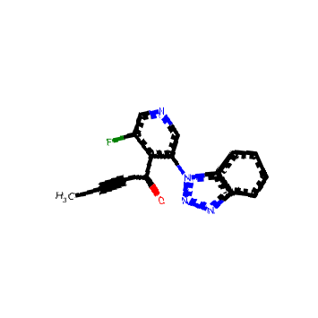 CC#CC(=O)c1c(F)cncc1-n1nnc2ccccc21